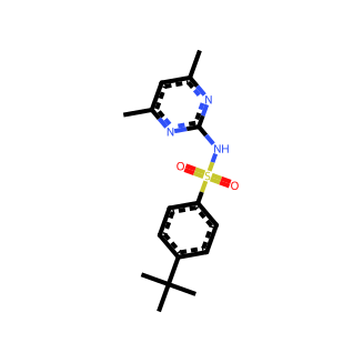 Cc1cc(C)nc(NS(=O)(=O)c2ccc(C(C)(C)C)cc2)n1